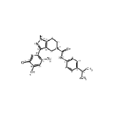 CN(C)c1ccc(NC(=O)N2CCc3[nH]nc(-c4cc(Cl)c(O)cc4O)c3C2)cc1